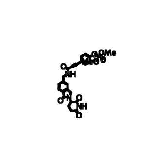 COP(=O)(OC)Oc1ccc(C#CC(=O)NCc2ccc3c(c2)CN(C2CCC(=O)NC2=O)C3=O)cc1